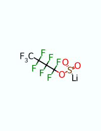 [Li][S](=O)(=O)OC(F)(F)C(F)(F)C(F)(F)C(F)(F)F